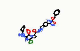 N=C(NC(=O)OCc1ccccc1)c1ccc(CNC(=O)C2CCc3c(Cl)nc(NC4CCC4)c(=O)n32)cc1